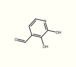 O=Cc1ccnc(O)c1O